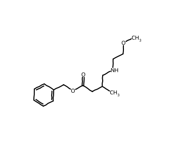 COCCNCC(C)CC(=O)OCc1ccccc1